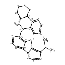 CC(C)c1cccc2c1sc1c(N(C)c3ccccc3C3CCCCC3)cccc12